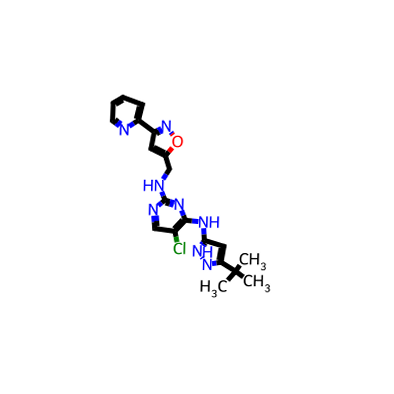 CC(C)(C)c1cc(Nc2nc(NCc3cc(-c4ccccn4)no3)ncc2Cl)n[nH]1